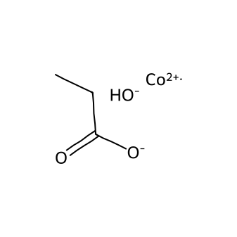 CCC(=O)[O-].[Co+2].[OH-]